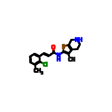 Cc1cccc(C=CC(=O)Nc2sc3c(c2C#N)CCNC3)c1Cl